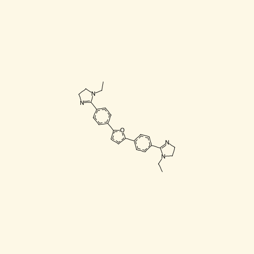 CCN1CCN=C1c1ccc(-c2ccc(-c3ccc(C4=NCCN4CC)cc3)o2)cc1